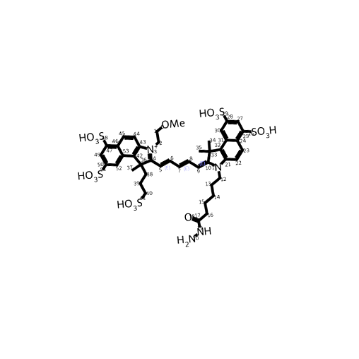 COCC[N+]1=C(/C=C/C=C/C=C2/N(CCCCCC(=O)NN)c3ccc4c(S(=O)(=O)O)cc(S(=O)(=O)O)cc4c3C2(C)C)C(C)(CCCS(=O)(=O)O)c2c1ccc1c(S(=O)(=O)O)cc(S(=O)(=O)O)cc21